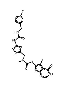 Cc1c(OC(=O)N(C)Cc2nsc(NC(=O)NCc3ccc(Cl)s3)n2)sc2nc[nH]c(=O)c12